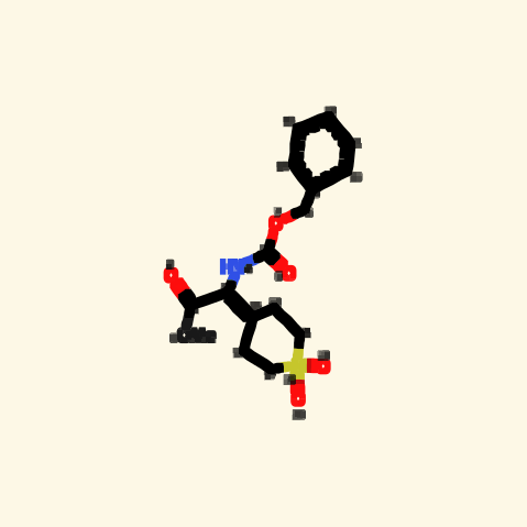 COC(=O)C(NC(=O)OCc1ccccc1)=C1CCS(=O)(=O)CC1